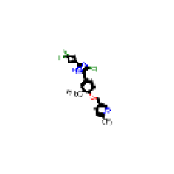 COc1cc(-c2[nH]c(C3CC(F)(F)C3)nc2Cl)ccc1OCc1ccc(C(F)(F)F)nc1